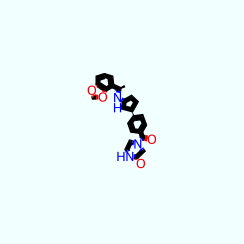 C[C@@H](NC1CC[C@H](c2ccc(C(=O)N3CCNC(=O)C3)cc2)C1)c1cccc2c1OCO2